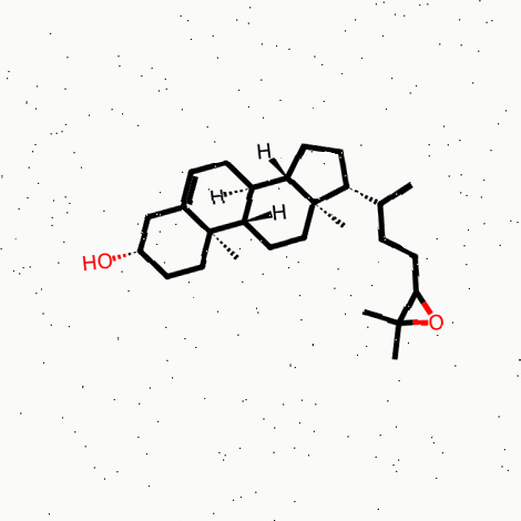 CC(CCC1OC1(C)C)[C@H]1CC[C@H]2[C@@H]3CC=C4C[C@@H](O)CC[C@]4(C)[C@H]3CC[C@]12C